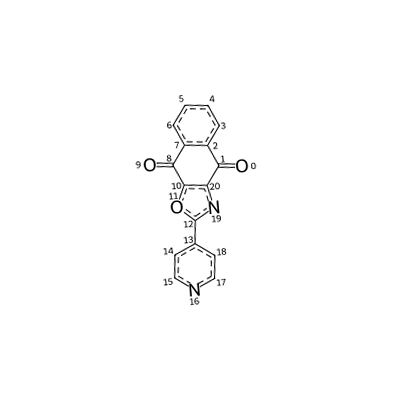 O=C1c2ccccc2C(=O)c2oc(-c3ccncc3)nc21